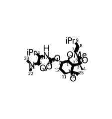 CO[C@H]1C([C@@]2(C)O[C@@H]2/C=C/C(C)C)[C@]2(CC[C@H]1OC(=O)NC(C(=O)N(C)C)C(C)C)CO2